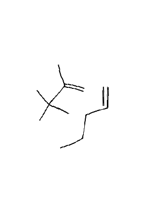 C=C(C)C(C)(C)C.C=CCCC